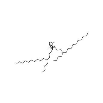 CCCCCCCCCCC(CCCC)CCC[N+](C)([O-])CCCC(CCCC)CCCCCCCCCC